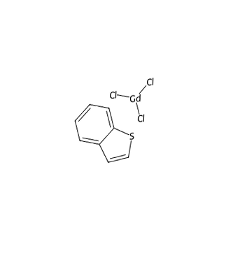 [Cl][Gd]([Cl])[Cl].c1ccc2sccc2c1